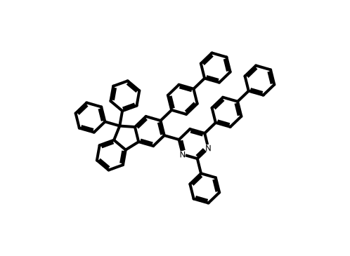 c1ccc(-c2ccc(-c3cc(-c4cc5c(cc4-c4ccc(-c6ccccc6)cc4)C(c4ccccc4)(c4ccccc4)c4ccccc4-5)nc(-c4ccccc4)n3)cc2)cc1